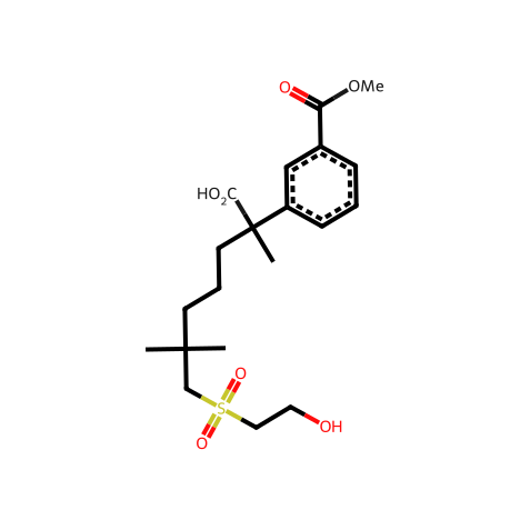 COC(=O)c1cccc(C(C)(CCCC(C)(C)CS(=O)(=O)CCO)C(=O)O)c1